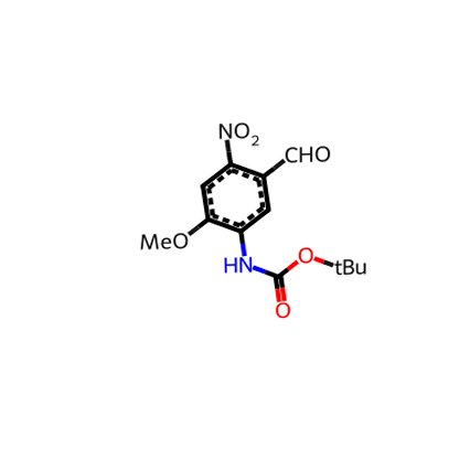 COc1cc([N+](=O)[O-])c(C=O)cc1NC(=O)OC(C)(C)C